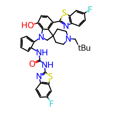 CC(C)(C)CN1CCC2(CC1)CN(c1ccccc1NC(=O)Nc1nc3ccc(F)cc3s1)c1c(O)ccc(-c3nc4ccc(F)cc4s3)c12